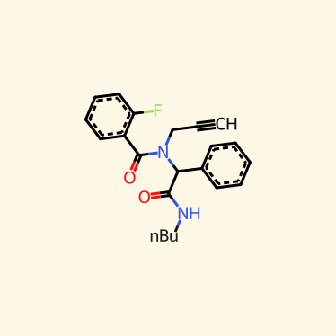 C#CCN(C(=O)c1ccccc1F)C(C(=O)NCCCC)c1ccccc1